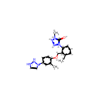 Cc1cc(N2C=CNN2)ccc1OCc1c(C)cccc1-n1nnn(C)c1=O